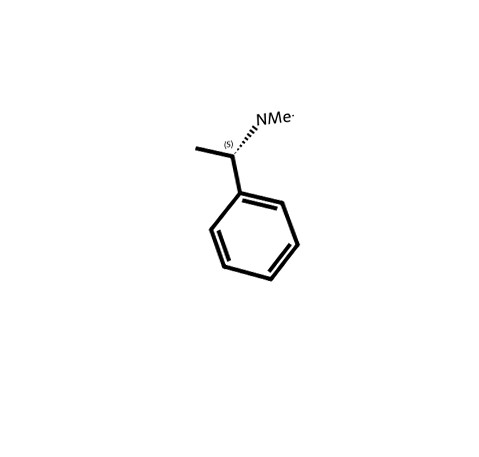 C[N][C@@H](C)c1ccccc1